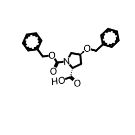 O=C(O)[C@H]1C[C@H](OCc2ccccc2)CN1C(=O)OCc1ccccc1